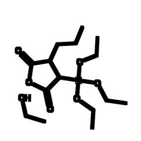 CCCC1C(=O)OC(=O)C1[Si](OCC)(OCC)OCC.CCO